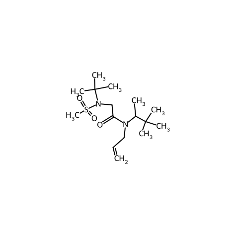 C=CCN(C(=O)CN(C(C)(C)C)S(C)(=O)=O)C(C)C(C)(C)C